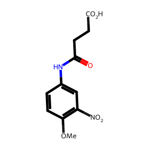 COc1ccc(NC(=O)CCC(=O)O)cc1[N+](=O)[O-]